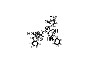 O=C(CC1[C@@H](COP(=O)(O)OP(=O)(O)Cc2ccccc2)O[C@@H](n2ccc(=O)[nH]c2=O)[C@H]1O)Nc1ccccc1